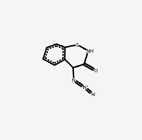 [N-]=[N+]=NC1C(=O)NSc2ccccc21